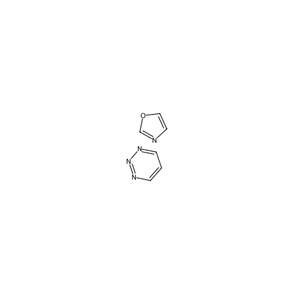 c1cnnnc1.c1cocn1